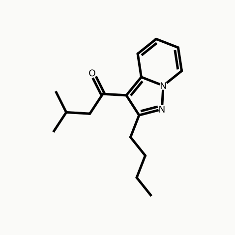 CCCCc1nn2ccccc2c1C(=O)CC(C)C